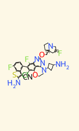 N#Cc1c(N)sc2c(F)ccc(-c3c(Cl)c4c5c(nc(OC[C@@]67CCCN6C[C@H](F)C7)nc5c3F)N(C3CC(N)C3)CCO4)c12